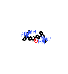 CC(C(=O)C(C)c1ccc(-c2nc(Nc3cc[nH]n3)cc3ccccc23)cc1)c1ccc(-c2nc(Nc3cc[nH]n3)cc3ccccc23)cc1